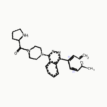 C=C/C=C(\C=C/C(C)Cl)c1nnc(N2CCN(C(=O)C3CCCN3)CC2)c2ccccc12